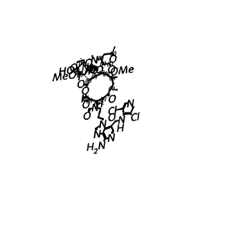 CO[C@]1(C)C[C@@H](C)C(=O)[C@H](C)[C@H]2N(CCCn3cnc4c(N)ncc(C(=O)Nc5c(Cl)cncc5Cl)c43)C(=O)O[C@]2(C)[C@@H](I)OC(=O)[C@H](C)[C@@H](O[C@H]2C[C@@](C)(OC)[C@@H](O)[C@H](C)O2)[C@H](C)[C@H]1O[C@@H]1O[C@H](C)C[C@H](N(C)C(=O)N2CCOCC2)[C@H]1O